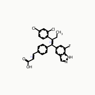 CC/C(=C(/c1ccc(/C=C/C(=O)O)cc1)c1cc(F)c2[nH]ncc2c1)c1ccc(Cl)cc1Cl